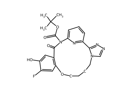 CC(C)(C)OC(=O)N1C(=O)c2cc(O)c(F)cc2OCCCCn2cnnc2-c2cccc1n2